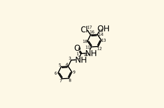 O=C(NCc1ccccc1)Nc1ccc(O)c(Cl)c1